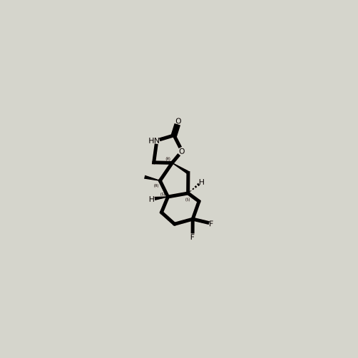 C[C@@H]1[C@H]2CCC(F)(F)C[C@@H]2C[C@]12CNC(=O)O2